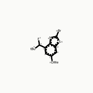 COc1cc(C(F)C(C)(C)C)c2nc(Br)sc2c1